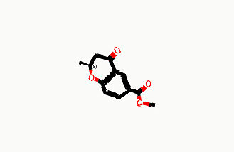 COC(=O)c1ccc2c(c1)C(=O)C[C@H](C)O2